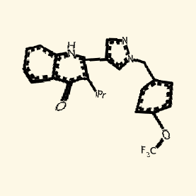 CC(C)c1c(-c2cnn(Cc3ccc(OC(F)(F)F)cc3)c2)[nH]c2ccccc2c1=O